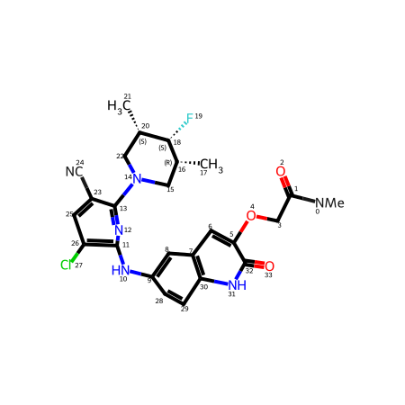 CNC(=O)COc1cc2cc(Nc3nc(N4C[C@@H](C)[C@@H](F)[C@@H](C)C4)c(C#N)cc3Cl)ccc2[nH]c1=O